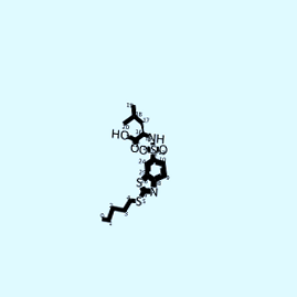 CCCCCSc1nc2ccc(S(=O)(=O)N[C@H](CC(C)C)C(=O)O)cc2s1